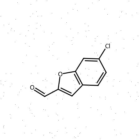 O=Cc1cc2ccc(Cl)cc2o1